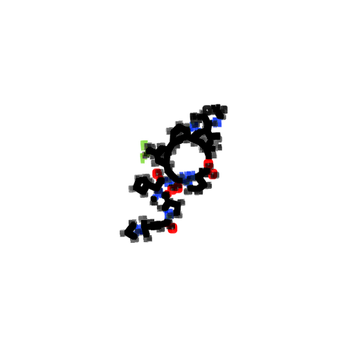 C=C/C(=C(\N=C/C)[C@H](C)OC)c1c2c3cc(ccc3n1CC)-c1cc(cc(C(F)F)c1)C[C@H](NC(=O)[C@H](C1CCCC1)N(C)C(=O)[C@H]1CCN(C(=O)C#CC(C)(C)N3CCC3)C1)C(=O)N1CCC[C@H](N1)C(=O)OCC(C)(C)C2